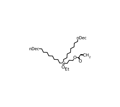 C=CC(=O)OCCC[Si](CCCCCCCCCCCCCCCCCC)(CCCCCCCCCCCCCCCCCC)OCC